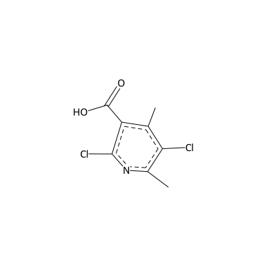 Cc1nc(Cl)c(C(=O)O)c(C)c1Cl